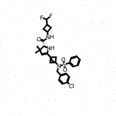 CC1(C)C=C(C23CC(N(Cc4ccc(Cl)cc4)S(=O)(=O)c4ccccc4)(C2)C3)N[C@H]1C(=O)NC1CC(C(F)F)C1